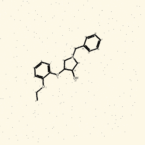 CCOc1ccccc1OC1CN(Cc2ccccc2)CC1O